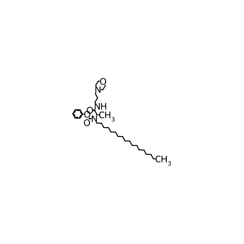 CCCCCCCCCCCCCCCCCCN(C(=O)Oc1ccccc1)C(C)C(=O)NCCCN1CCOCC1